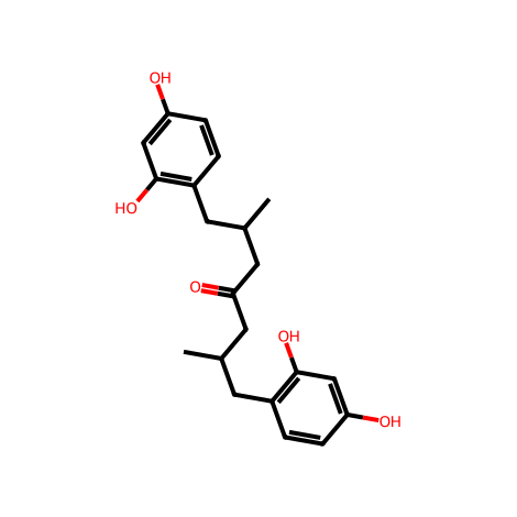 CC(CC(=O)CC(C)Cc1ccc(O)cc1O)Cc1ccc(O)cc1O